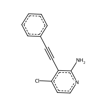 Nc1nccc(Cl)c1C#Cc1ccccc1